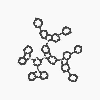 c1ccc(-c2ccc3c(c2)c2cc(-c4ccccc4)ccc2n3-c2ccc3c(c2)c2cc(-n4c5ccc(-c6ccccc6)cc5c5cc(-c6ccccc6)ccc54)ccc2n3-c2nc(-n3c4ccccc4c4ccccc43)nc(-n3c4ccccc4c4ccccc43)n2)cc1